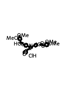 COc1ccc(OC(=O)COc2ccc(-c3cn(CCN4CCOCC4)c(-c4ccc(OCC(O)c5ccc(OC)c(OC)c5)cc4)n3)cc2)cc1OC.Cl